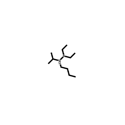 CCCC[SiH](C(C)C)N(CC)CC